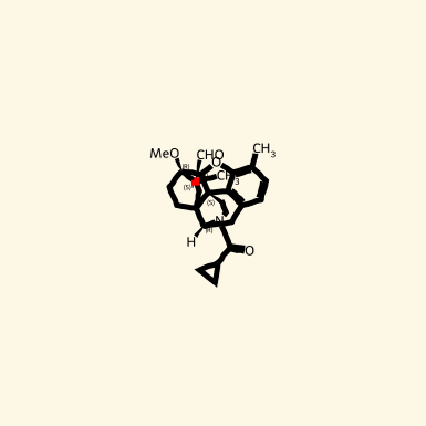 CO[C@]12CCC3(C[C@]1(C)C=O)[C@H]1Cc4ccc(C)c5c4[C@@]3(CCN1C(=O)C1CC1)[C@H]2O5